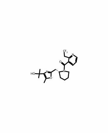 Cc1oc(C[C@H]2CCCCN2C(=O)c2cccnc2CC(F)(F)F)nc1C(C)(C)O